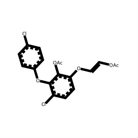 CC(=O)OC=COc1ccc(Cl)c(Oc2ccc(Cl)cc2)c1OC(C)=O